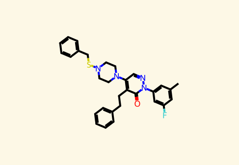 Cc1cc(F)cc(-n2ncc(N3CCN(SCc4ccccc4)CC3)c(CCc3ccccc3)c2=O)c1